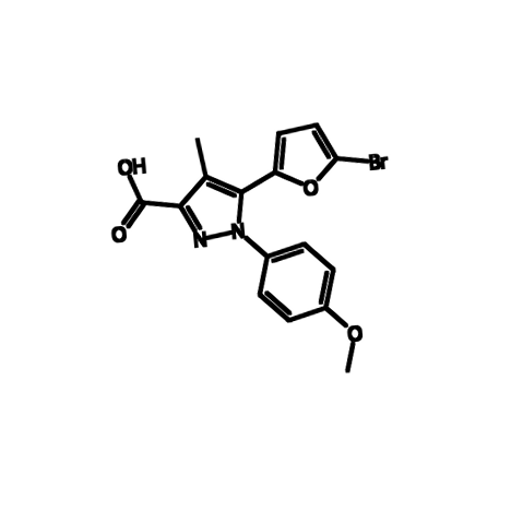 COc1ccc(-n2nc(C(=O)O)c(C)c2-c2ccc(Br)o2)cc1